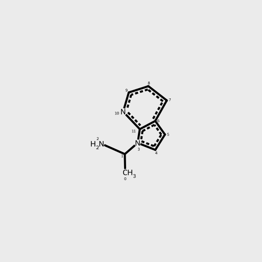 CC(N)n1ccc2cccnc21